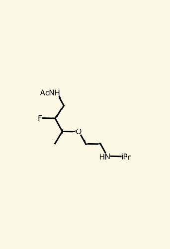 CC(=O)NCC(F)C(C)OCCNC(C)C